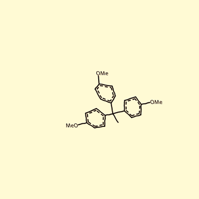 COc1ccc(C(C)(c2ccc(OC)cc2)c2ccc(OC)cc2)cc1